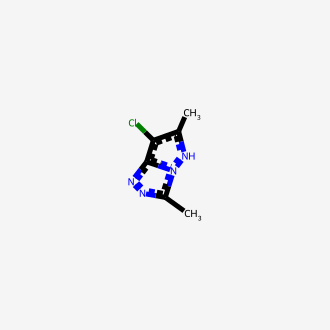 Cc1[nH]n2c(C)nnc2c1Cl